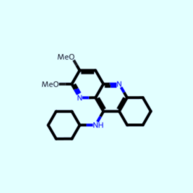 COc1cc2nc3c(c(NC4CCCCC4)c2nc1OC)CCCC3